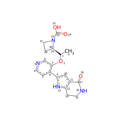 CC(Oc1cnccc1-c1cc2c([nH]1)CCNC2=O)[C@H]1CCN1C(=O)O